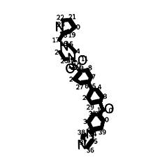 O=C(c1ccc(-c2ccc(S(=O)(=O)N3CCN(Cc4ccccn4)CC3)cc2)cc1)c1ccc(-n2ccnc2)cc1